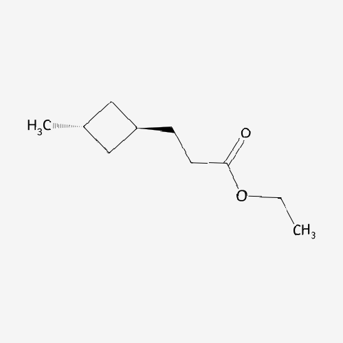 CCOC(=O)CC[C@H]1C[C@H](C)C1